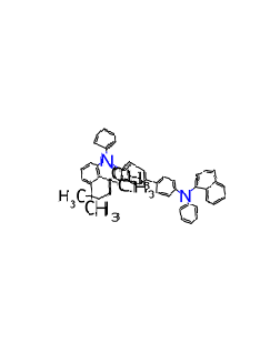 CC1(C)CCC(C)(C)c2c(N(c3ccccc3)c3ccc(-c4ccc(N(c5ccccc5)c5cccc6ccccc56)cc4)cc3)cccc21